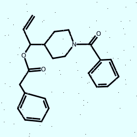 C=CC(OC(=O)Cc1ccccc1)C1CCN(C(=O)c2ccccc2)CC1